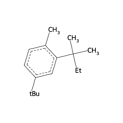 CCC(C)(C)c1cc(C(C)(C)C)ccc1C